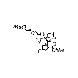 COCCOCCO[C@](C)(C(=O)N1C[C@H](F)C[C@H]1C(=O)OC)C(F)(F)F